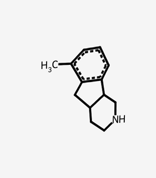 Cc1cccc2c1CC1CCNCC21